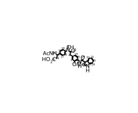 COc1cc(CC(=O)N(C)c2ccc(C(CC(=O)O)NC(C)=O)cc2)ccc1NC(=O)C1CNc2ccccc21